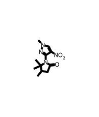 CC1CC(=O)N(c2nn(C)cc2[N+](=O)[O-])C1(C)C